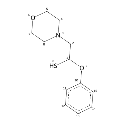 SC(CN1CCOCC1)Oc1cc[c]cc1